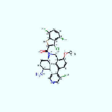 COc1ccc(-c2ccncc2F)cc1CN(C(=O)c1sc2c(F)ccc(F)c2c1Cl)[C@H]1CC[C@@H](N)CC1